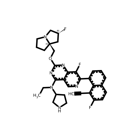 C#Cc1c(F)ccc2cccc(-c3ncc4c(N(CC)C5CCNC5)nc(OC[C@@]56CCCN5C[C@H](F)C6)nc4c3F)c12